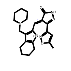 Cc1cc(C2=NNC(=O)/C2=C/c2[nH]c3c(c2CN2CCCCC2)CCCC3)no1